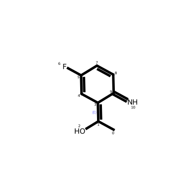 C/C(O)=C1/C=C(F)C=CC1=N